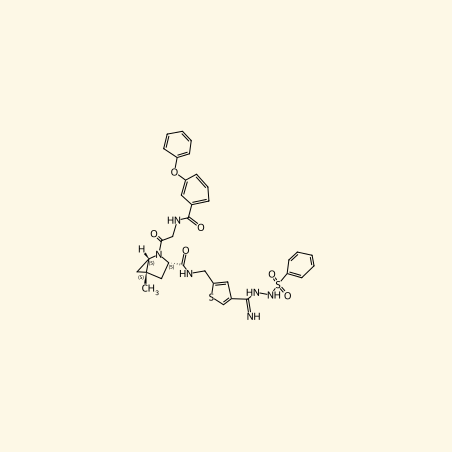 C[C@@]12C[C@@H]1N(C(=O)CNC(=O)c1cccc(Oc3ccccc3)c1)[C@H](C(=O)NCc1cc(C(=N)NNS(=O)(=O)c3ccccc3)cs1)C2